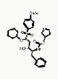 COc1ccc(S(=O)(=O)N(C[C@@H](O)[C@H](Cc2ccccc2)NC(=O)OC2CCOC2)OC2CCCCC2)cc1